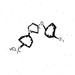 O=C(O)c1ccc(N2CC[C@H](Oc3ccc(C(F)(F)F)cc3)C2)cc1